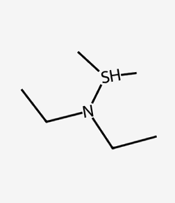 CCN(CC)[SH](C)C